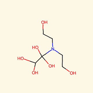 OCCN(CCO)C(O)(O)C(O)O